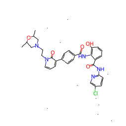 CC1CN(CCn2cccc(-c3ccc(C(=O)Nc4c(O)cccc4C(=O)Nc4ccc(Cl)cn4)cc3)c2=O)CC(C)O1